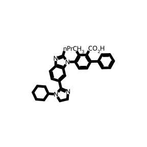 CCCc1nc2ccc(C3=NCCN3C3CCCCC3)cc2n1-c1ccc(-c2ccccc2)c(C(=O)O)c1C